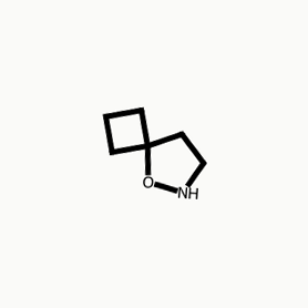 C1CC2(C1)CCNO2